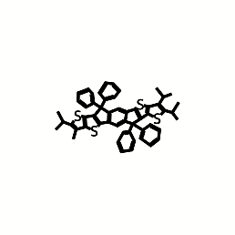 Cc1c(C(C)C)sc2c3c(sc12)-c1cc2c(cc1C3(c1ccccc1)c1ccccc1)-c1sc3c(C(C)C)c(C(C)C)sc3c1C2(c1ccccc1)c1ccccc1